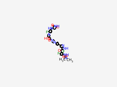 CCN(C)S(=O)(=O)Nc1ccc(F)c(C(=O)c2c[nH]c3ncc(-c4ccc(N5CCN(C(=O)CC6(O)CCN(c7ccc(N[C@H]8CCC(=O)NC8=O)cc7F)C6)CC5)cc4)cc23)c1F